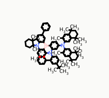 Cc1cc2c3c(c1)N1c4c(cc(-c5ccccc5)cc4C4(C)CCCCC14C)B3c1ccc(N(c3cc4c(cc3C)C(C)(C)CCC4(C)C)c3cc4c(cc3C)C(C)(C)CCC4(C)C)cc1N2c1ccc(C(C)(C)C)cc1-c1ccccc1